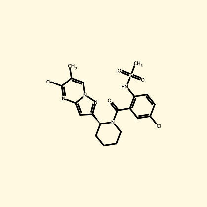 Cc1cn2nc([C@@H]3CCCCN3C(=O)c3cc(Cl)ccc3NS(C)(=O)=O)cc2nc1Cl